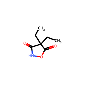 CCC1(CC)C(=O)NOC1=O